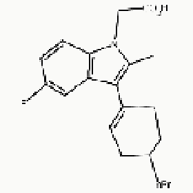 CCCC1CC=C(c2c(C)n(CC(=O)O)c3ccc(F)cc23)CC1